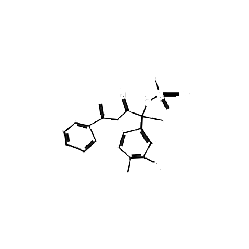 CCCS(=O)(=O)OC(C)(C(=N)CC(=O)c1ccccc1)c1ccc(Cl)c(Cl)c1